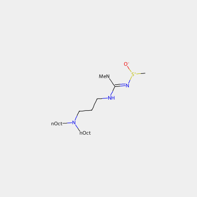 CCCCCCCCN(CCCCCCCC)CCCN/C(=N/[S+](C)[O-])NC